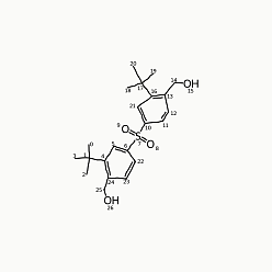 CC(C)(C)c1cc(S(=O)(=O)c2ccc(CO)c(C(C)(C)C)c2)ccc1CO